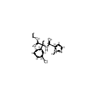 CCOC(=O)C(C)(NC(=O)c1ccnn1C)c1cccc(Cl)c1